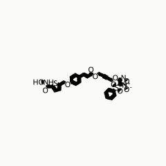 O=C(C=Cc1ccc(OCc2ccc(C(=O)NO)s2)cc1)OCC#CCOc1no[n+]([O-])c1S(=O)(=O)c1ccccc1